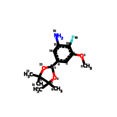 COc1cc(B2OC(C)(C)C(C)(C)O2)cc(N)c1F